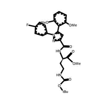 COC(=O)[C@@H](CCNC(=O)OC(C)(C)C)NC(=O)c1cc(-c2c(OC)cccc2OC)n(-c2ccc(F)cc2)n1